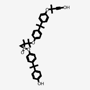 CC(C)(C#CO)Oc1ccc(C(C)(C)c2ccc(OC(C)(C)C3(C)CP3(=O)Oc3ccc(C(C)(C)c4ccc(O)cc4)cc3)cc2)cc1